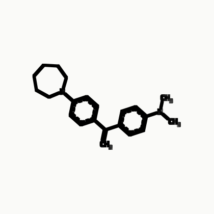 C=C(c1ccc(N(C)C)cc1)c1ccc(N2CCCCCC2)cc1